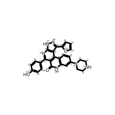 O=c1[nH]c2cc(N3CCNCC3)ccc2c2c1c(-c1ccc(O)cc1)nc1[nH]nc(-c3ccco3)c12